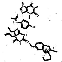 C=CCC1(C(C)CC)C(=O)NC(=O)NC1=O.CC(=O)Nc1ccc(O)cc1.COc1ccc2c(c1)[C@]13CCCC[C@@H]1[C@H](C2)N(C)CC3.Cn1c(=O)c2c(ncn2C)n(C)c1=O